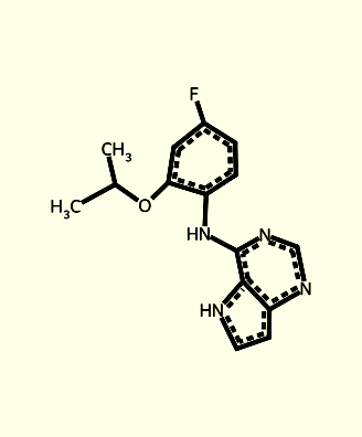 CC(C)Oc1cc(F)ccc1Nc1ncnc2cc[nH]c12